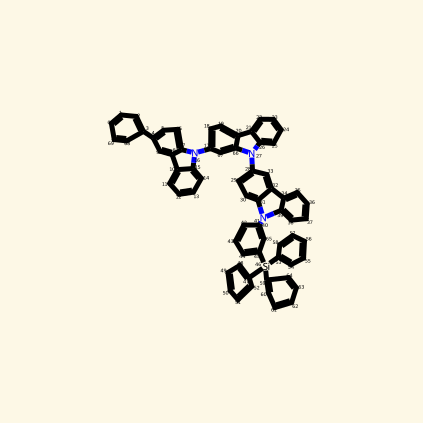 c1ccc(-c2ccc3c(c2)c2ccccc2n3-c2ccc3c4ccccc4n(-c4ccc5c(c4)c4ccccc4n5-c4cccc([Si](c5ccccc5)(c5ccccc5)c5ccccc5)c4)c3c2)cc1